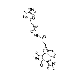 C[C@H](NC(=O)CNC(=O)CNC(=O)CCn1cc(C2=C(c3cn(C)c4ccccc34)C(=O)NC2=O)c2ccccc21)C(N)=O